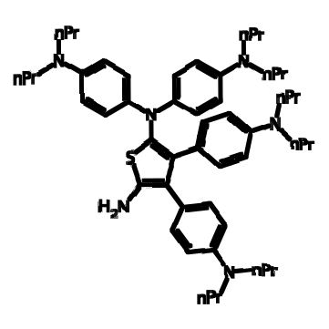 CCCN(CCC)c1ccc(-c2c(N)sc(N(c3ccc(N(CCC)CCC)cc3)c3ccc(N(CCC)CCC)cc3)c2-c2ccc(N(CCC)CCC)cc2)cc1